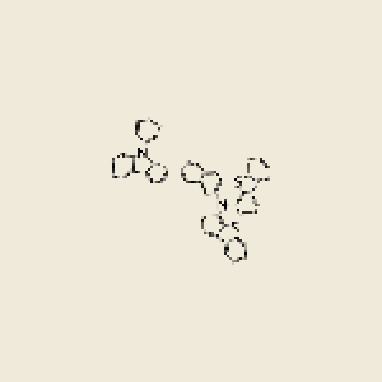 c1ccc(-n2c3ccccc3c3ccc(-c4ccc5ccc(N(c6cccc7c6sc6ccccc67)c6cccc7c6sc6ccccc67)cc5c4)cc32)cc1